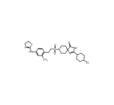 CCC1CCC(C2=NC3(CCN(S(=O)(=O)CCc4ccc(NC5=NCCS5)cc4C)CC3)C(=O)N2)CC1